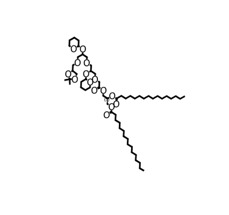 CCCCCCCCCCCCCCCC(=O)OC[C@@H](COC(=O)COCC(COCC(COCC1COC(C)(C)O1)OC1CCCCO1)OC1CCCCO1)OC(=O)CCCCCCCCCCCCCCC